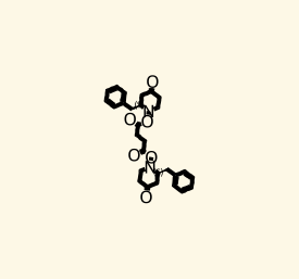 O=C1CCN(OC(=O)CCC(=O)ON2CCC(=O)C[C@@H]2Cc2ccccc2)[C@@H](Cc2ccccc2)C1